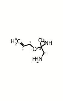 C=CCOC1(CN)NO1